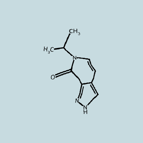 CC(C)n1ccc2c[nH]nc2c1=O